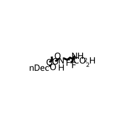 CCCCCCCCCCC(=O)OC(C)OC(=O)NCCCC(N)(C(=O)O)C(F)F